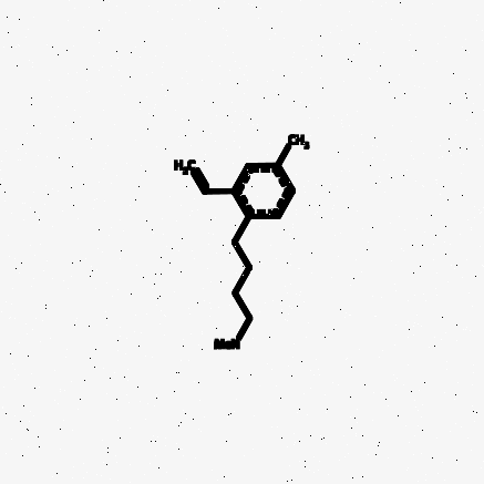 C=Cc1cc(C)ccc1CCCCNC